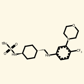 CC(C)(C)S(=O)(=O)N[C@H]1CC[C@H](CNc2ccc(C(F)(F)F)c(N3CCOCC3)c2)CC1